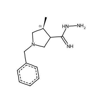 C[C@@H]1CN(Cc2ccccc2)CC1C(=N)NN